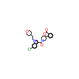 O=C1OC2(CCN(C(=O)c3cn(CCC4CCOCC4)c4cc(Cl)ccc34)CC2)c2ccccc21